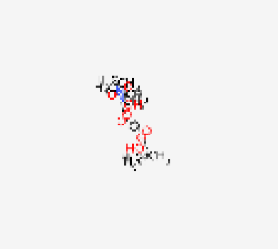 CCC(C)(CC)CC(O)COC(=O)c1ccc(C(=O)OCC(O)CN2C(=O)N(C(C)(C)C)C(=O)C2(C)C)cc1